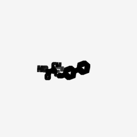 CC(=C=Cc1ccc(-c2ccccc2)cc1)C(=O)O